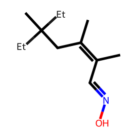 CCC(C)(CC)C/C(C)=C(C)\C=N\O